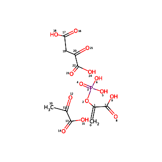 C=C(OP(=O)(O)O)C(=O)O.CC(=O)C(=O)O.O=C(O)CC(=O)C(=O)O